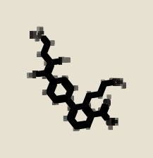 CCCCc1c(C(=O)O)cccc1-c1ccc(C(F)=C(F)CCC)cc1